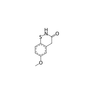 COc1ccc2c(c1)CC(=O)NS2